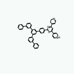 C1=CC(c2cc(C3=CC=NCC3)nc(-c3ccc(-c4cc(-c5cccc(-c6ccccc6)c5)cc(-c5cccc(-c6ccccc6)c5)c4)cc3)n2)=CCN1